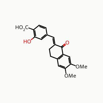 COc1cc2c(cc1OC)C(=O)C(=Cc1ccc(C(=O)O)c(O)c1)CC2